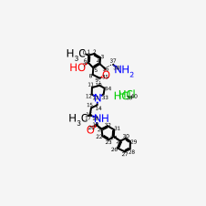 Cc1ccc2c(c1O)C[C@@H](C1CCN(CCC(C)NC(=O)c3ccc(-c4ccccc4)cc3)CC1)O[C@H]2CN.Cl.Cl